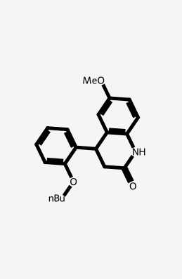 CCCCOc1ccccc1C1CC(=O)Nc2ccc(OC)cc21